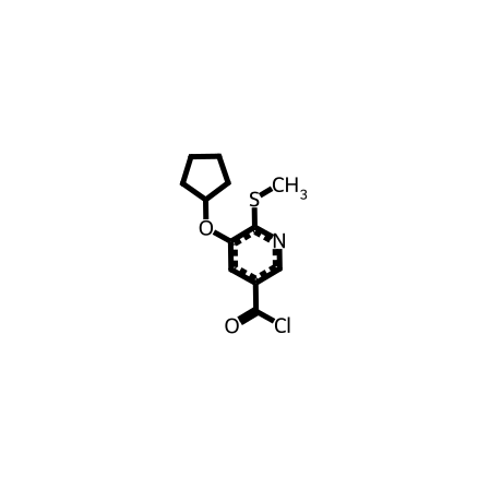 CSc1ncc(C(=O)Cl)cc1OC1CCCC1